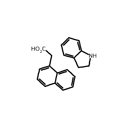 O=C(O)Cc1cccc2ccccc12.c1ccc2c(c1)CCN2